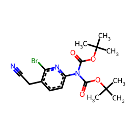 CC(C)(C)OC(=O)N(C(=O)OC(C)(C)C)c1ccc(CC#N)c(Br)n1